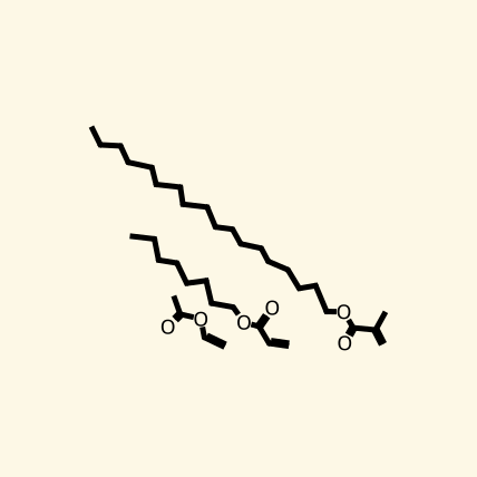 C=C(C)C(=O)OCCCCCCCCCCCCCCCCCC.C=CC(=O)OCCCCCCCC.C=COC(C)=O